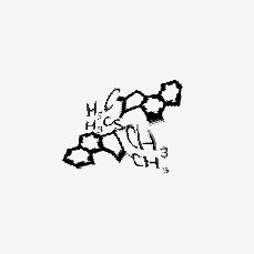 CC1Cc2c(ccc3ccccc23)C1S(C)(C)C1c2ccc3ccccc3c2C[C@H]1C